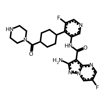 Nc1nn2cc(F)cnc2c1C(=O)Nc1cncc(F)c1C1CCC(C(=O)N2CCNCC2)CC1